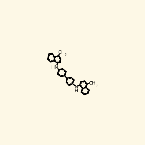 Cc1ccc(Nc2ccc(-c3ccc(Nc4ccc(C)c5ccccc45)cc3)cc2)c2ccccc12